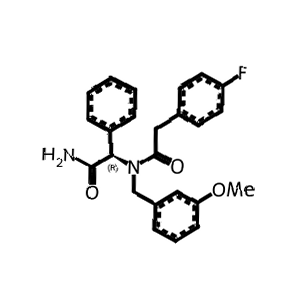 COc1cccc(CN(C(=O)Cc2ccc(F)cc2)[C@@H](C(N)=O)c2ccccc2)c1